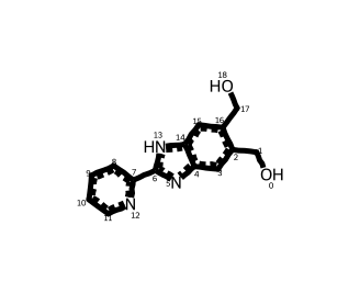 OCc1cc2nc(-c3ccccn3)[nH]c2cc1CO